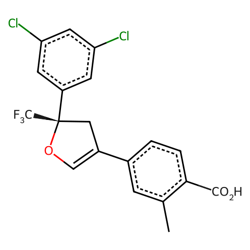 Cc1cc(C2=CO[C@@](c3cc(Cl)cc(Cl)c3)(C(F)(F)F)C2)ccc1C(=O)O